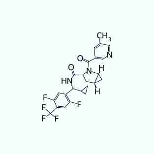 Cc1cncc(C(=O)N2[C@@H](C(=O)NC(c3cc(F)c(C(F)(F)F)cc3F)C3CC3)C[C@H]3C[C@H]32)c1